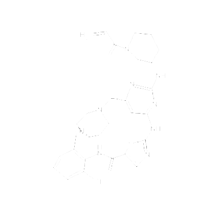 C=CC(=O)N1CCC[C@H](Nc2nc(CN3CCOCC3)cc(Nc3ncc(C(=O)Nc4c(C)cccc4C)s3)n2)C1